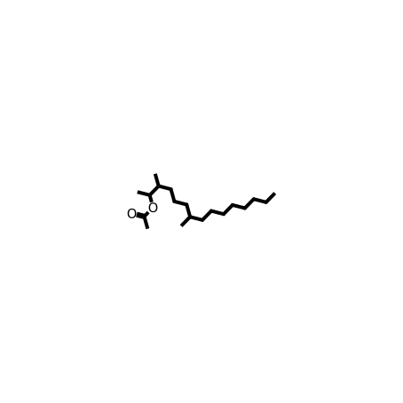 CCCCCCCCC(C)CCCC(C)C(C)OC(C)=O